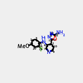 COc1ccc(Nc2cnccc2-c2nnc(N)o2)c(F)c1